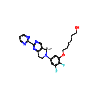 C[C@H]1c2cnc(-c3ncccn3)nc2CCN1c1cc(F)c(F)c(OCCCCCCO)c1